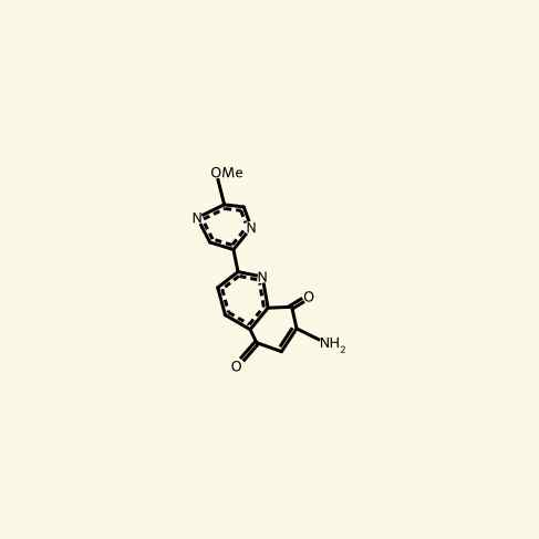 COc1cnc(-c2ccc3c(n2)C(=O)C(N)=CC3=O)cn1